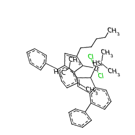 CCCCCC1=Cc2c(-c3ccccc3)ccc(C)c2[CH]1[Zr]([Cl])([Cl])([CH]1C(C(C)C)=Cc2c(-c3ccccc3)cccc21)[SiH](C)C